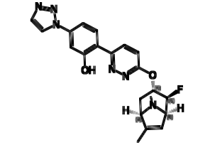 CC1=C[C@@H]2[C@H](F)[C@@H](Oc3ccc(-c4ccc(-n5ccnn5)cc4O)nn3)C[C@H]1N2C